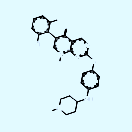 CN1CCC(Nc2ccc(Nc3ncc4c(=O)c(-c5c(Cl)cccc5Cl)cn(C)c4n3)cc2)CC1